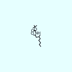 CCCCCC(C)CC(C=O)NC(=O)OC(C)(C)C